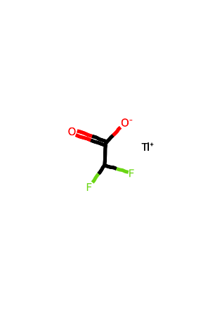 O=C([O-])C(F)F.[Tl+]